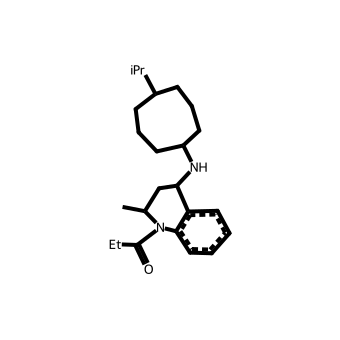 CCC(=O)N1c2ccccc2C(NC2CCCC(C(C)C)CCC2)CC1C